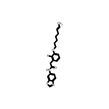 C/C=C/CCCCCOc1cccc(CC(=O)Nc2ccc3ncsc3c2)c1F